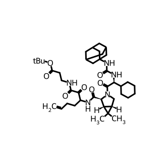 C=CCCC(NC(=O)[C@@H]1[C@@H]2[C@H](CN1C(=O)[C@@H](NC(=O)NC13CC4CC(CC(C4)C1)C3)C1CCCCC1)C2(C)C)C(=O)C(=O)NCCC(=O)OC(C)(C)C